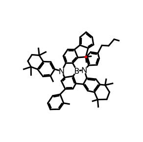 CCCCc1ccc(N2B3c4c(cc(-c5ccccc5C)cc4N(c4cc5c(cc4C)C(C)(C)CCC5(C)C)c4ccc5c(c43)C(C)(C)c3ccccc3-5)-c3cc4c(cc32)C(C)(C)CCC4(C)C)cc1